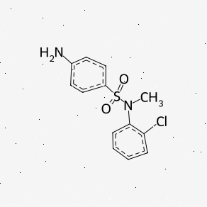 CN(c1ccccc1Cl)S(=O)(=O)c1ccc(N)cc1